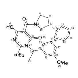 CCCCc1nc(O)c(C(=O)N2CC[C@H](c3ccccc3)C2)c(=O)n1C(C)c1cccc(OC)c1